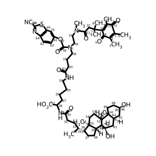 CC1=C(C)C(=O)C(C(C)(C)CC(=O)N(C)CCN(CCCC(=O)NCCCCC(NC(=O)CCC(C)[C@H]2CC[C@H]3[C@@H]4[C@H](O)C[C@@H]5C[C@H](O)CC[C@]5(C)[C@H]4CC[C@]23C)C(=O)O)C(=O)Oc2ccc3nc(C#N)sc3c2)=C(C)C1=O